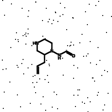 C=CCC1CNCCN1N[C]=O